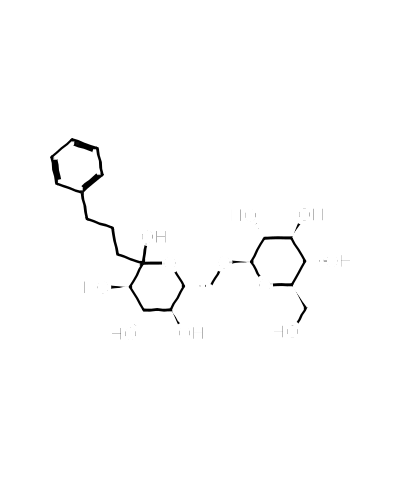 OC[C@H]1O[C@@H](OC[C@H]2OC(O)(CCCc3ccccc3)[C@H](O)[C@@H](O)[C@@H]2O)[C@H](O)[C@@H](O)[C@@H]1O